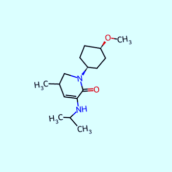 CO[C@H]1CC[C@@H](N2CC(C)C=C(NC(C)C)C2=O)CC1